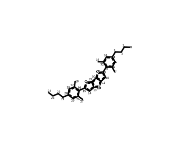 CCCCc1cc(C)c(-c2cc3sc4cc(-c5c(C)cc(CCCC)cc5C)sc4c3s2)c(C)c1